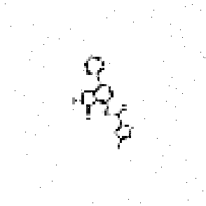 Cc1csc(C(=O)Nc2ccc(-c3ccccc3)c3c2C(=O)NC3)c1